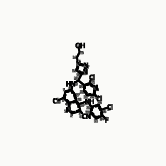 N#Cc1cnc2c(Cl)cc(NC(c3cn(CCO)nn3)c3ccc(Cl)nc3Cl)cc2c1Nc1ccc(F)c(Cl)c1